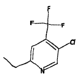 CCc1cc(C(F)(F)F)c(Cl)cn1